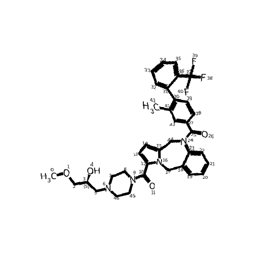 COC[C@@H](O)CN1CCN(C(=O)c2ccc3n2Cc2ccccc2N(C(=O)c2ccc(-c4ccccc4C(F)(F)F)c(C)c2)C3)CC1